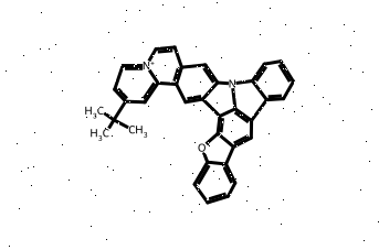 CC(C)(C)c1cc[n+]2ccc3cc4c(cc3c2c1)c1c2oc3ccccc3c2cc2c3ccccc3n4c21